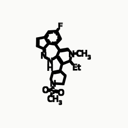 CCC1C(C2=CCN(S(C)(=O)=O)CC2)=C2NN=C3C=Cc4cc(F)cc(c43)C2=CN1C